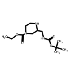 CCOC(=O)N1CCNC(CNC(=O)OC(C)(C)C)C1